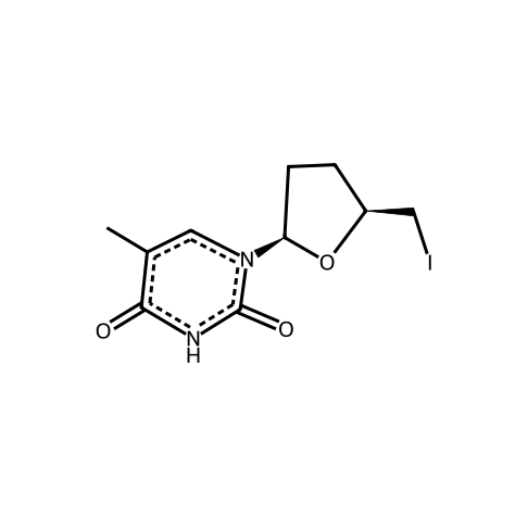 Cc1cn([C@H]2CC[C@@H](CI)O2)c(=O)[nH]c1=O